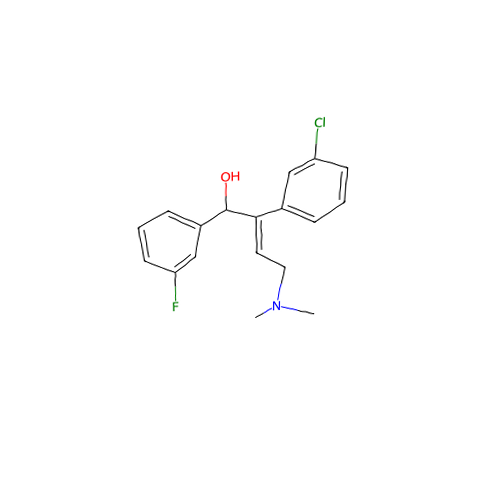 CN(C)C/C=C(\c1cccc(Cl)c1)C(O)c1cccc(F)c1